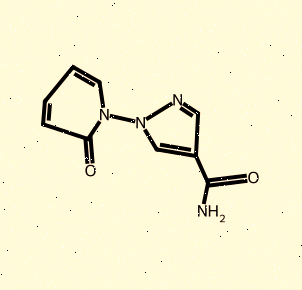 NC(=O)c1cnn(-n2ccccc2=O)c1